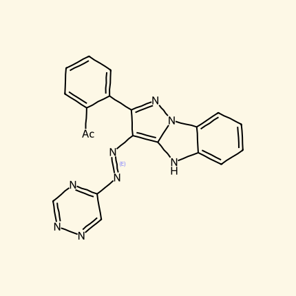 CC(=O)c1ccccc1-c1nn2c([nH]c3ccccc32)c1/N=N/c1cnncn1